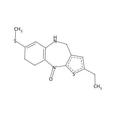 CCc1cc2c(s1)[N+](=O)C1=C(C=C(SC)CC1)NC2